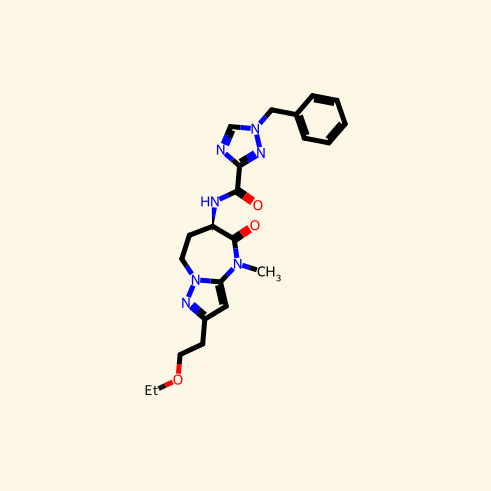 CCOCCc1cc2n(n1)CC[C@@H](NC(=O)c1ncn(Cc3ccccc3)n1)C(=O)N2C